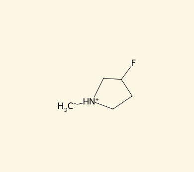 [CH2-][NH+]1CCC(F)C1